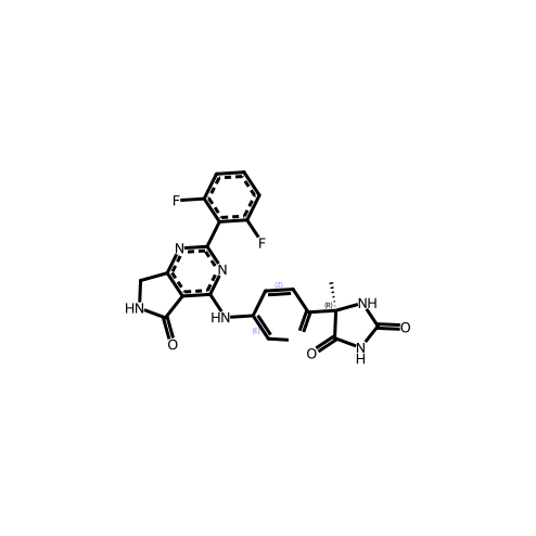 C=C(/C=C\C(=C/C)Nc1nc(-c2c(F)cccc2F)nc2c1C(=O)NC2)[C@@]1(C)NC(=O)NC1=O